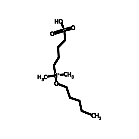 CCCCCO[N+](C)(C)CCCCS(=O)(=O)O